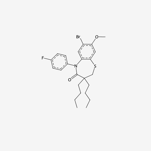 CCCCC1(CCCC)CSc2cc(OC)c(Br)cc2N(c2ccc(F)cc2)C1=O